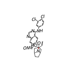 C=CC(O)N1C2CCC1CC(Oc1cc3c(Nc4ccc(Cl)c(Cl)c4)ncnc3cc1OC)C2